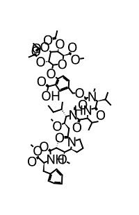 CCC(C)[C@@H]([C@@H](CC(=O)N1CCC[C@H]1[C@H](OC)[C@@H](C)C(=O)N[C@@H](Cc1ccccc1)C(=O)OC)OC)N(C)C(=O)[C@@H](NC(=O)[C@H](C(C)C)N(C)C(=O)OCc1ccc(OC2O[C@H](C(=O)OC)[C@@H](OC(C)=O)[C@H](OC(C)=O)[C@H]2OC(C)=O)c(C(=O)O)c1)C(C)C